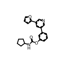 O=C(NC1CCCC1)Oc1cccc(-c2cncc(-c3ccco3)c2)c1